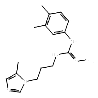 Cc1ccc(N/C(=N\N)NCCCn2cncc2C)cc1C